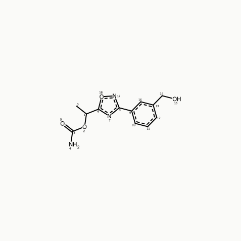 CC(OC(N)=O)c1nc(-c2cccc(CO)c2)no1